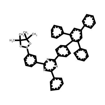 CC1(C)OB(c2cccc(-c3nc(-c4ccccc4)nc(-c4ccc(-c5c(-c6ccccc6)cc(-c6ccccc6)cc5-c5ccccc5)cc4)n3)c2)OC1(C)C